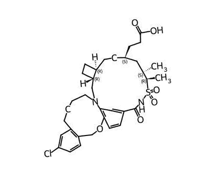 C[C@@H]1[C@@H](C)C[C@H](CCC(=O)O)CC[C@@H]2CC[C@H]2CN2CCCCc3cc(Cl)ccc3COc3ccc(cc32)C(=O)NS1(=O)=O